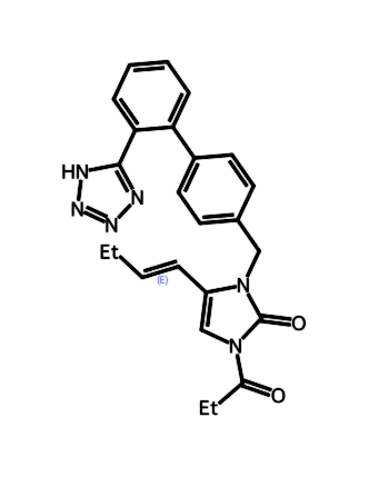 CC/C=C/c1cn(C(=O)CC)c(=O)n1Cc1ccc(-c2ccccc2-c2nnn[nH]2)cc1